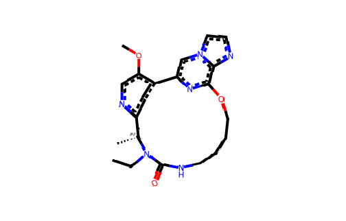 CCN1C(=O)NCCCCOc2nc(cn3ccnc23)-c2cc(ncc2OC)[C@H]1C